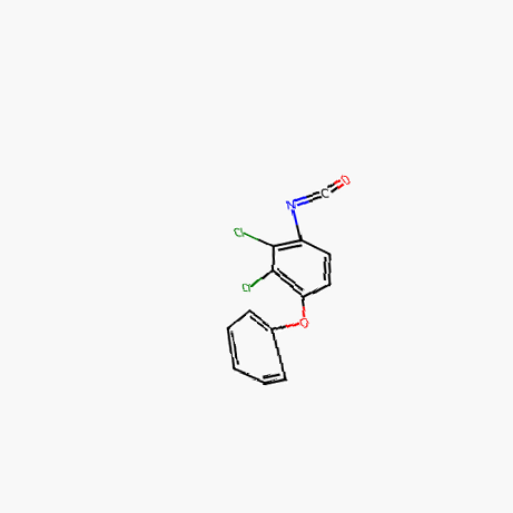 O=C=Nc1ccc(Oc2ccccc2)c(Cl)c1Cl